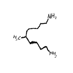 CC(CCCCN)CCCCN